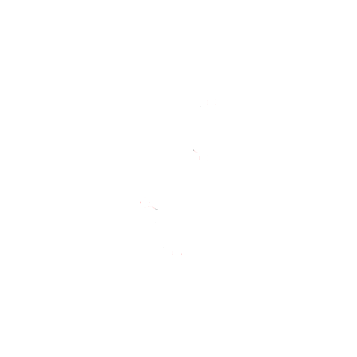 O=C(CC1CCC(CC(=O)C2CCC3OC3C2)CC1)C1CCCC(O)C1